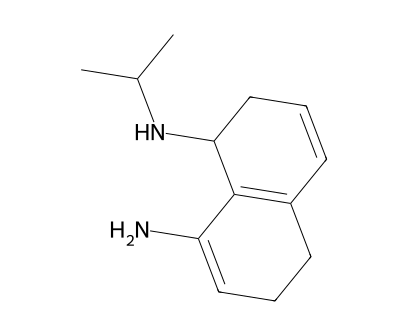 CC(C)NC1CC=CC2=C1C(N)=CCC2